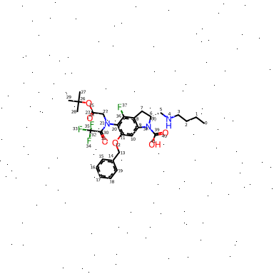 CCCCNC[C@H]1Cc2c(cc(OCc3ccccc3)c(N(CC(=O)OC(C)(C)C)C(=O)C(F)(F)F)c2F)N1C(=O)O